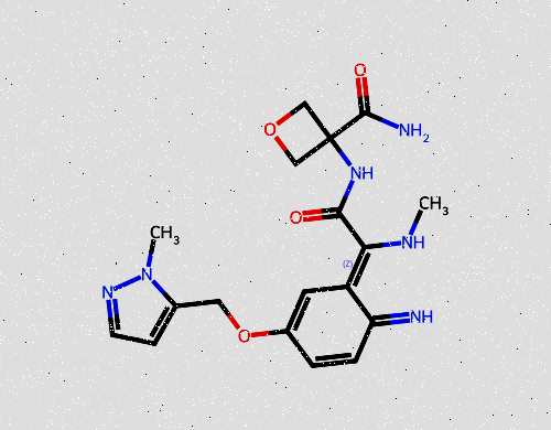 CN/C(C(=O)NC1(C(N)=O)COC1)=C1/C=C(OCc2ccnn2C)C=CC1=N